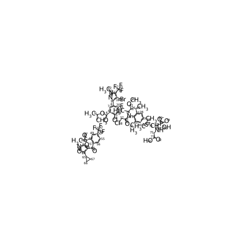 CC(C)OC(=O)c1cc(-c2nn(C)c(C(F)(F)F)c2Br)c(F)cc1Cl.CCc1cccc(C)c1N(C(=O)CCl)C(C)COC.CS(=O)(=O)c1cc(C(F)(F)F)ccc1C(=O)c1cnoc1C1CC1.C[S+](C)C.O=C(O)CNCP(=O)([O-])O